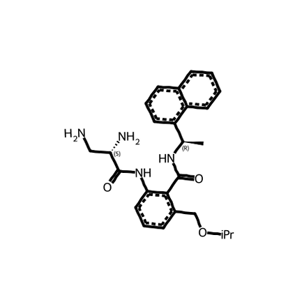 CC(C)OCc1cccc(NC(=O)[C@@H](N)CN)c1C(=O)N[C@H](C)c1cccc2ccccc12